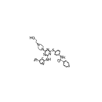 CC(C)c1cnc(Nc2nc(Sc3ccc(NC(=O)c4ccccc4)cc3)nc(N3CCN(CCO)CC3)n2)s1